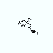 C=CC(CC)(CO[SiH3])C(C)C